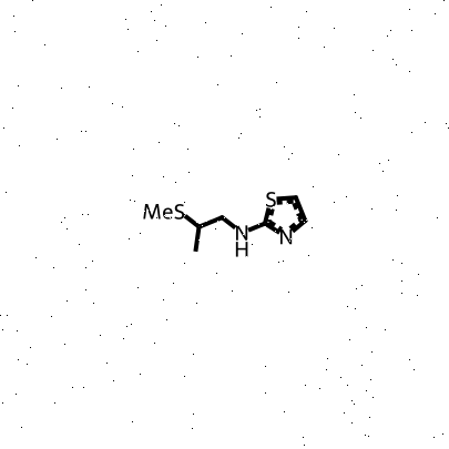 CSC(C)CNc1nccs1